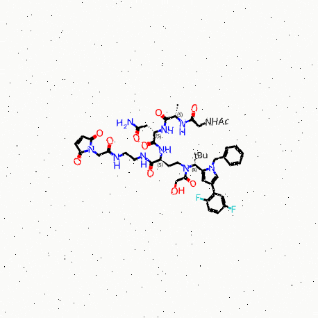 CC(=O)NCC(=O)N[C@@H](C)C(=O)N[C@@H](CC(N)=O)C(=O)N[C@@H](CCN(C(=O)CO)[C@@H](c1cc(-c2cc(F)ccc2F)cn1Cc1ccccc1)C(C)(C)C)C(=O)NCCNC(=O)CN1C(=O)C=CC1=O